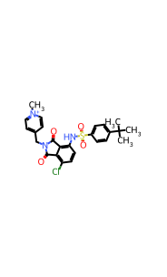 C[n+]1ccc(CN2C(=O)c3c(Cl)ccc(NS(=O)(=O)c4ccc(C(C)(C)C)cc4)c3C2=O)cc1